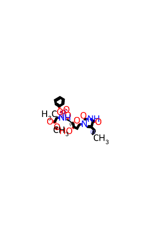 C/C=C/c1cn(C2CC(O)[C@@H](COP(=O)(NC(C)C(=O)OC)Oc3ccccc3)O2)c(=O)[nH]c1=O